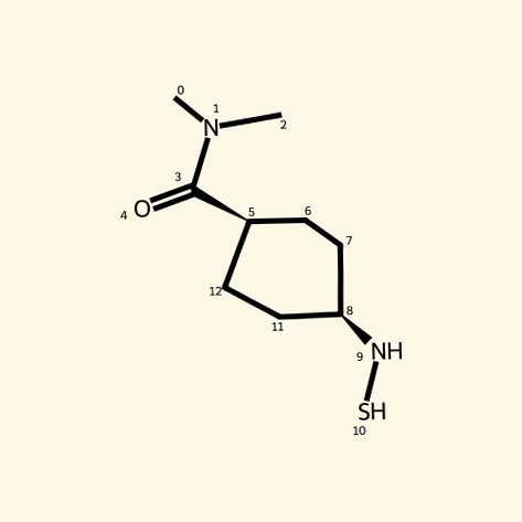 CN(C)C(=O)[C@H]1CC[C@@H](NS)CC1